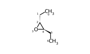 CC[C@H]1O[C@@H]1CC